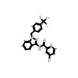 O=C(Nc1nn(Cc2ccc(C(F)(F)F)cc2)c2ccccc12)c1cc(Cl)ccn1